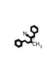 C=C(CCc1ccccc1)/C(C#N)=C/C1CC=CCC1